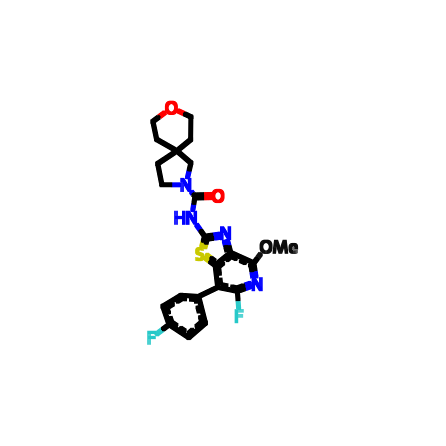 COc1nc(F)c(-c2ccc(F)cc2)c2sc(NC(=O)N3CCC4(CCOCC4)C3)nc12